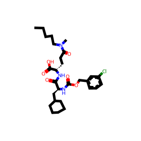 CCCCCN(C)C(=O)CC[C@H](NC(=O)[C@H](CC1CCCCC1)NC(=O)OCc1cccc(Cl)c1)C(=O)O